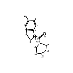 Cc1ccc2c(c1)CCN2C(=O)N1CCOCC1